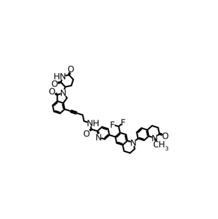 CN1C(=O)CCc2ccc(N3CCCc4cc(-c5ccc(C(=O)NCCC#Cc6cccc7c6CN(C6CCC(=O)NC6=O)C7=O)nc5)c(C(F)F)cc43)cc21